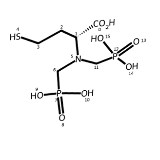 O=C(O)[C@@H](CCS)N(CP(=O)(O)O)CP(=O)(O)O